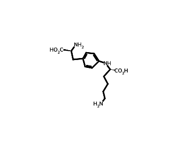 NCCCC[C@H](Nc1ccc(C[C@H](N)C(=O)O)cc1)C(=O)O